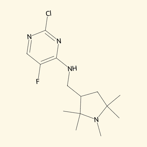 CN1C(C)(C)CC(CNc2nc(Cl)ncc2F)C1(C)C